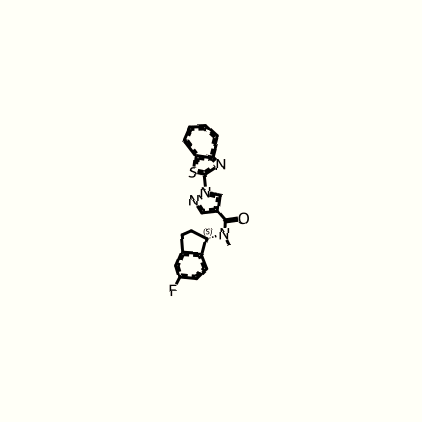 CN(C(=O)c1cnn(-c2nc3ccccc3s2)c1)[C@H]1CCc2cc(F)ccc21